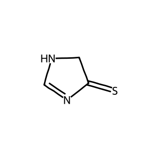 S=C1CNC=N1